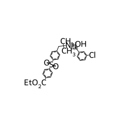 CCOC(=O)c1ccc(S(=O)(=O)c2ccc(CC(C)(C)NC[C@@H](O)c3cccc(Cl)c3)cc2)cc1